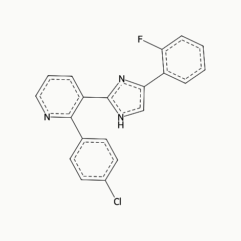 Fc1ccccc1-c1c[nH]c(-c2cccnc2-c2ccc(Cl)cc2)n1